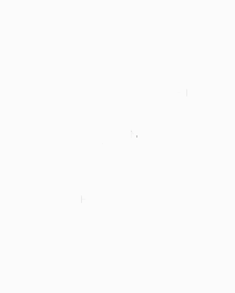 OCNC(O)(CO)CO